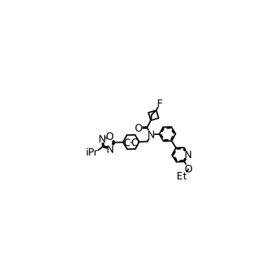 CCOc1ccc(-c2cccc(N(CC34CCC(c5nc(C(C)C)no5)(CC3)CC4)C(=O)C34CC(F)(C3)C4)c2)cn1